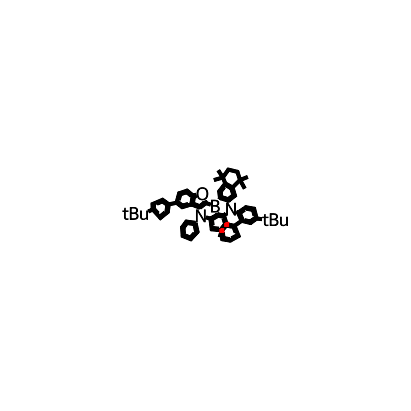 Cc1cc2c3c(c1)N(c1ccccc1)c1c(oc4ccc(-c5ccc(C(C)(C)C)cc5)cc14)B3c1cc3c(cc1N2c1ccc(C(C)(C)C)cc1-c1ccccc1)C(C)(C)CCC3(C)C